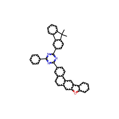 CC1(C)c2ccccc2-c2cc(-c3nc(-c4ccccc4)nc(-c4ccc5c(ccc6cc7oc8ccccc8c7cc65)c4)n3)ccc21